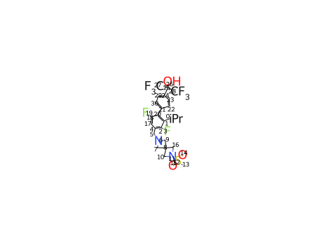 CC(C)c1c(F)c(CN2CC3(C2)CN(S(C)(=O)=O)C3)cc(F)c1-c1ccc(C(O)(C(F)(F)F)C(F)(F)F)cc1